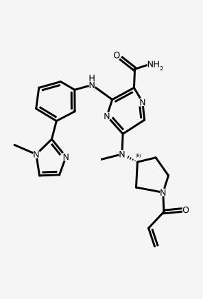 C=CC(=O)N1CC[C@@H](N(C)c2cnc(C(N)=O)c(Nc3cccc(-c4nccn4C)c3)n2)C1